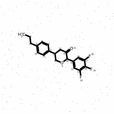 CCCc1ccc(C2COC(c3cc(F)c(F)c(F)c3)C(=O)C2)cc1